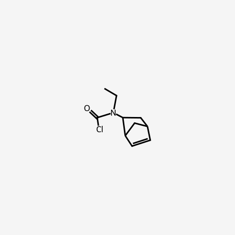 CCN(C(=O)Cl)C1CC2C=CC1C2